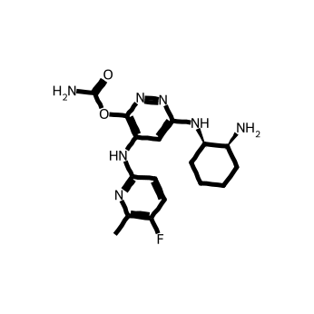 Cc1nc(Nc2cc(N[C@@H]3CCCC[C@@H]3N)nnc2OC(N)=O)ccc1F